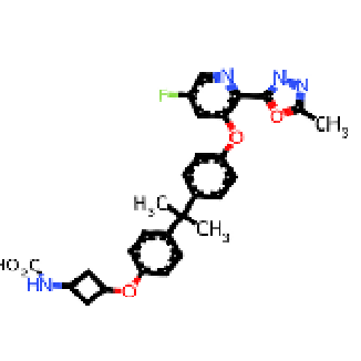 Cc1nnc(-c2ncc(F)cc2Oc2ccc(C(C)(C)c3ccc(OC4CC(NC(=O)O)C4)cc3)cc2)o1